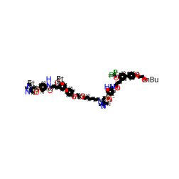 CCCCOCCOc1ccc(-c2ccc(OC(F)F)c(/C=C/C(=O)Nc3ccc([S+]([O-])Cc4c(C)ncn4CCCCCCOCCOc4ccc(-c5ccc(OCC)c(/C=C/C(=O)Nc6ccc([S+]([O-])Cc7c(C)ncn7CC)cc6)c5)cc4)cc3)c2)cc1